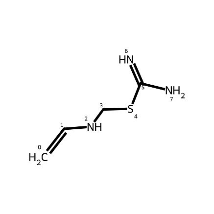 C=CNCSC(=N)N